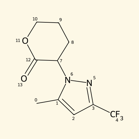 Cc1cc(C(F)(F)F)nn1C1CCCOC1=O